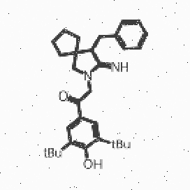 CC(C)(C)c1cc(C(=O)CN2CC3(CCCC3)C(Cc3ccccc3)C2=N)cc(C(C)(C)C)c1O